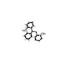 Oc1ccccc1CC(c1ccccc1)c1ccccc1O